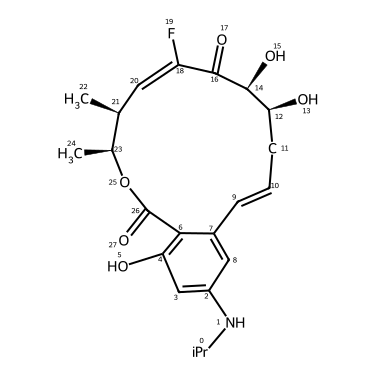 CC(C)Nc1cc(O)c2c(c1)/C=C/C[C@H](O)[C@H](O)C(=O)/C(F)=C\[C@H](C)[C@H](C)OC2=O